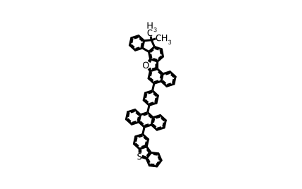 CC1(C)c2ccccc2-c2c1ccc1c2oc2cc(-c3ccc(-c4c5ccccc5c(-c5ccc6sc7ccccc7c6c5)c5ccccc45)cc3)c3ccccc3c21